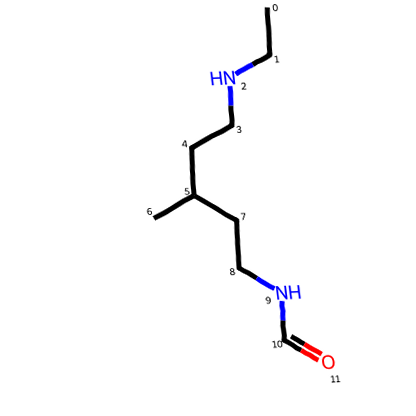 CCNCCC(C)CCNC=O